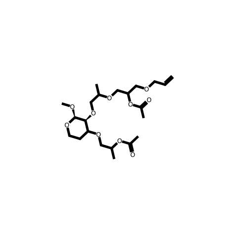 C=CCOCC(COC(C)CO[C@H]1C(OCC(C)OC(C)=O)CCO[C@H]1OC)OC(C)=O